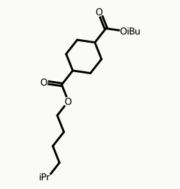 CC(C)CCCCOC(=O)C1CCC(C(=O)OCC(C)C)CC1